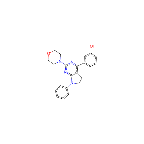 Oc1cccc(-c2nc(N3CCOCC3)nc3c2CCN3c2ccccc2)c1